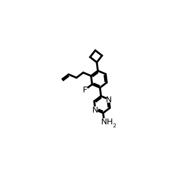 C=CCCc1c(C2CCC2)ccc(-c2cnc(N)cn2)c1F